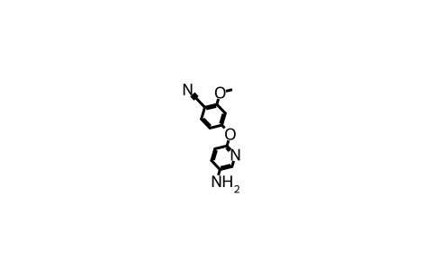 COc1cc(Oc2ccc(N)cn2)ccc1C#N